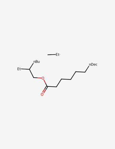 CCCCCCCCCCCCCCCC(=O)OCC(CC)CCCC.C[CH]C